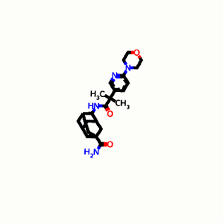 CC(C)(C(=O)NC1C2CC3CC1CC(C(N)=O)(C3)C2)c1ccc(N2CCOCC2)nc1